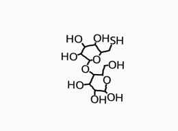 OCC1OC(O)C(O)C(O)C1OC1OC(CS)C(O)C(O)C1O